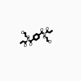 C=CC(=O)N(OCC=O)C(=O)c1ccc(C(=O)N(OCC=O)C(=O)C=C)cc1